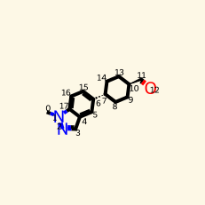 Cn1ncc2cc([C@H]3CC[C@H](C=O)CC3)ccc21